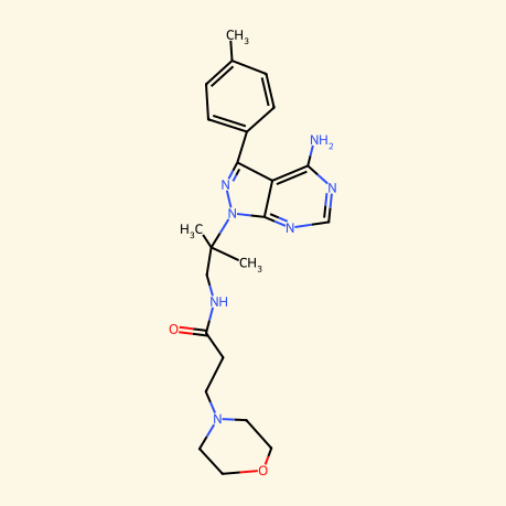 Cc1ccc(-c2nn(C(C)(C)CNC(=O)CCN3CCOCC3)c3ncnc(N)c23)cc1